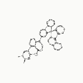 Cc1cc2c(cc1C)-c1cccc3c(-c4ccc5c(c4)C4(c6ccccc6-5)c5ccccc5-c5c4ccc4ccccc54)ccc(c13)O2